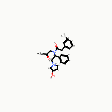 COC(=O)CN(C(=O)Cc1cccc([N+](=O)[O-])c1)C(CN1CCC(O)C1)c1ccccc1